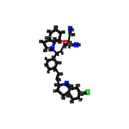 N#CCCC(c1cccc(C=Cc2ccc3ccc(Cl)cc3n2)c1)n1ccc2cccc(OCC#N)c21